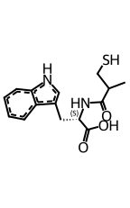 CC(CS)C(=O)N[C@@H](Cc1c[nH]c2ccccc12)C(=O)O